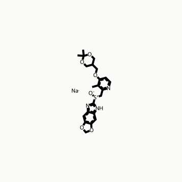 Cc1c(OCC2COC(C)(C)OC2)ccnc1C[S+]([O-])c1nc2cc3c(cc2[nH]1)OCO3.[Na]